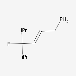 CC(C)C(F)(C=CCP)C(C)C